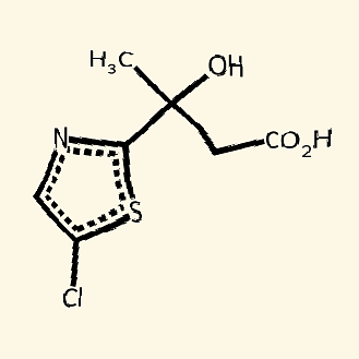 CC(O)(CC(=O)O)c1ncc(Cl)s1